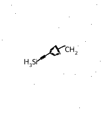 C=Cc1ccc(C#C[SiH3])cc1